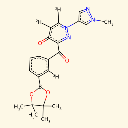 [2H]c1c(B2OC(C)(C)C(C)(C)O2)cccc1C(=O)c1nn(-c2cnn(C)c2)c([2H])c([2H])c1=O